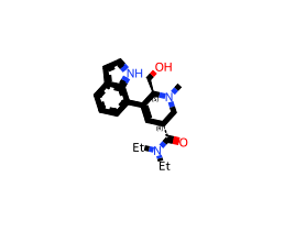 CCN(CC)C(=O)[C@@H]1C=C(c2cccc3cc[nH]c23)[C@@H](CO)N(C)C1